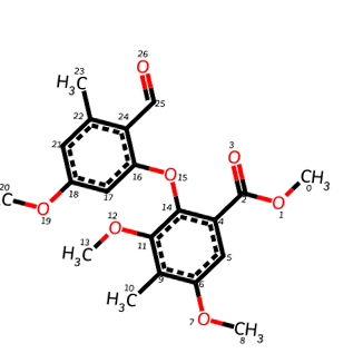 COC(=O)c1cc(OC)c(C)c(OC)c1Oc1cc(OC)cc(C)c1C=O